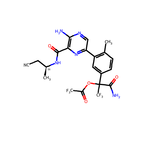 Cc1ccc(C(OC(=O)C(F)(F)F)(C(N)=O)C(F)(F)F)cc1-c1cnc(N)c(C(=O)N[C@@H](C)CC#N)n1